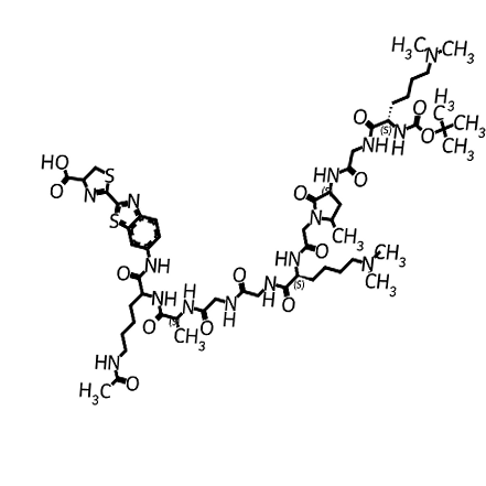 CC(=O)NCCCCC(NC(=O)[C@H](C)NC(=O)CNC(=O)CNC(=O)[C@H](CCCCN(C)C)NC(=O)CN1C(=O)[C@@H](NC(=O)CNC(=O)[C@H](CCCCN(C)C)NC(=O)OC(C)(C)C)CC1C)C(=O)Nc1ccc2nc(C3=NC(C(=O)O)CS3)sc2c1